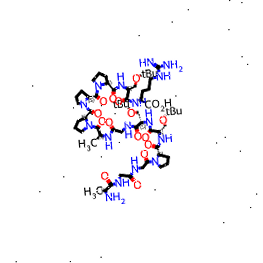 C[C@H](N)C(=O)NCC(=O)NCC(=O)N1CCC[C@H]1C(=O)N[C@@H](COC(C)(C)C)C(=O)N[C@@H](COC(C)(C)C)C(=O)NCC(=O)N[C@@H](C)C(=O)N1CCC[C@H]1C(=O)N1CCC[C@H]1C(=O)N1CCC[C@H]1C(=O)N[C@@H](COC(C)(C)C)C(=O)N[C@@H](CCCNC(=N)N)C(=O)O